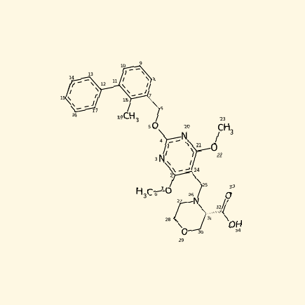 COc1nc(OCc2cccc(-c3ccccc3)c2C)nc(OC)c1CN1CCOC[C@H]1C(=O)O